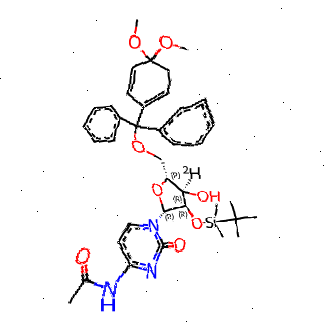 [2H][C@@]1(O)[C@@H](COC(C2=CCC(OC)(OC)C=C2)(c2ccccc2)c2ccccc2)O[C@@H](n2ccc(NC(C)=O)nc2=O)[C@@H]1O[Si](C)(C)C(C)(C)C